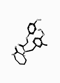 CCCOc1ccc(CN(C(=O)COc2ccc(C=O)cc2)[C@H]2CCCCNC2=O)cc1C